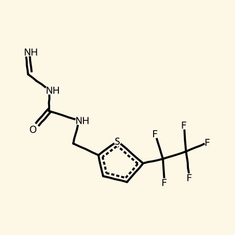 N=CNC(=O)NCc1ccc(C(F)(F)C(F)(F)F)s1